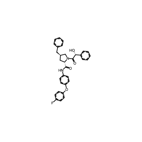 O=C(Nc1ccc(Oc2ccc(F)cc2)cc1)[C@@H]1C[C@@H](Cc2ccccc2)CN1C(=O)[C@H](O)c1ccccc1